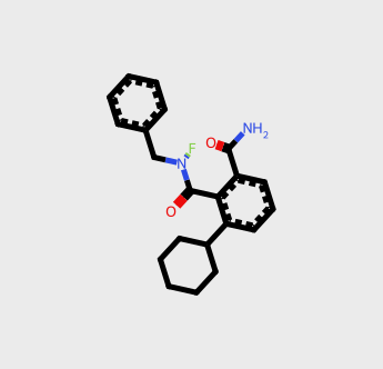 NC(=O)c1cccc(C2CCCCC2)c1C(=O)N(F)Cc1ccccc1